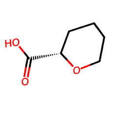 O=C(O)[C@@H]1CCCCO1